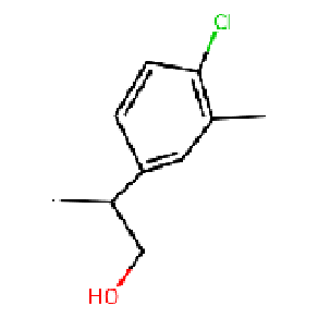 [CH2]C(CO)c1ccc(Cl)c(C)c1